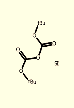 CC(C)(C)OC(=O)OC(=O)OC(C)(C)C.[Si]